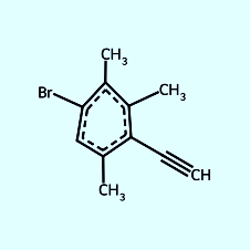 C#Cc1c(C)cc(Br)c(C)c1C